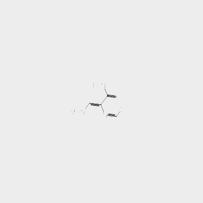 C/C=N\C(=C/NC)C(N)=O